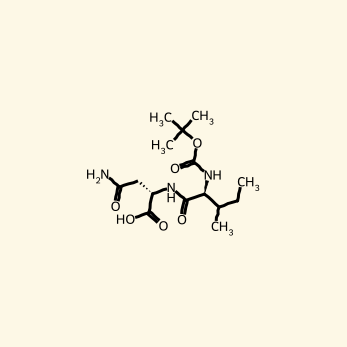 CCC(C)[C@H](NC(=O)OC(C)(C)C)C(=O)N[C@@H](CC(N)=O)C(=O)O